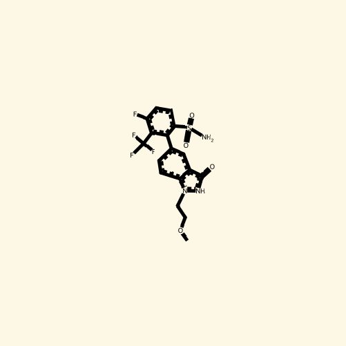 COCCn1[nH]c(=O)c2cc(-c3c(S(N)(=O)=O)ccc(F)c3C(F)(F)F)ccc21